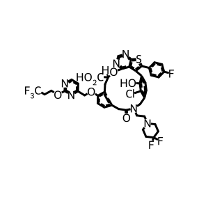 O=C(O)[C@H]1Cc2cc(ccc2OCc2ccnc(OCCC(F)(F)F)n2)CC(=O)N(CCN2CCC(F)(F)CC2)Cc2ccc(c(O)c2Cl)-c2c(-c3ccc(F)cc3)sc3ncnc(c23)O1